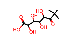 CC(C)(C)C(=O)C(O)C(O)C(O)C(O)C(=O)O